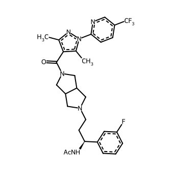 CC(=O)N[C@@H](CCN1CC2CN(C(=O)c3c(C)nn(-c4ccc(C(F)(F)F)cn4)c3C)CC2C1)c1cccc(F)c1